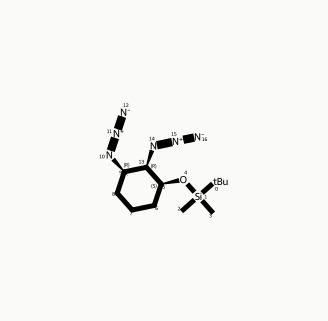 CC(C)(C)[Si](C)(C)O[C@H]1CCC[C@@H](N=[N+]=[N-])[C@H]1N=[N+]=[N-]